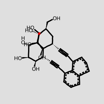 OC[C@H]1C[C@H](C#Cc2cccc3cccc(C#C[C@H]4C[C@H](CO)[C@@H](O)[C@H](O)[C@@H]4O)c23)[C@@H](O)[C@@H](O)[C@@H]1O